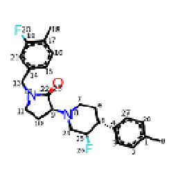 Cc1ccc([C@H]2CCN([C@H]3CCN(Cc4ccc(C)c(F)c4)C3=O)C[C@@H]2F)cc1